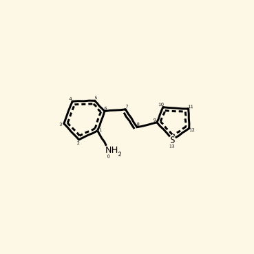 Nc1ccccc1C=Cc1cccs1